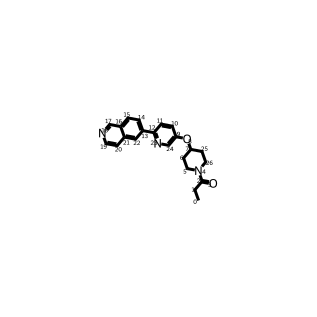 CCC(=O)N1CCC(Oc2ccc(-c3ccc4cnccc4c3)nc2)CC1